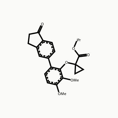 COc1ccc(-c2ccc3c(c2)CCC3=O)c(OC2(C(=O)OC(C)C)CC2)c1OC